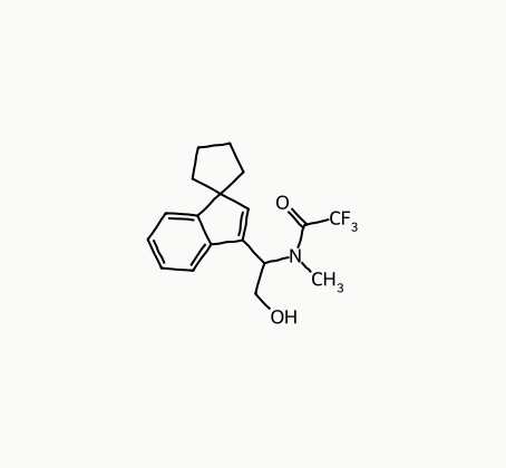 CN(C(=O)C(F)(F)F)C(CO)C1=CC2(CCCC2)c2ccccc21